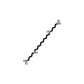 CCNCCCCNCCCCCCCCCCNCCCCNCC